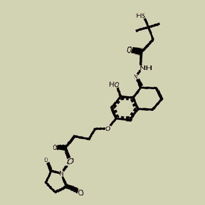 CC(C)(S)CC(=O)NN=C1CCCc2cc(OCCCC(=O)ON3C(=O)CCC3=O)cc(O)c21